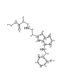 CCOC(=O)C(C)CNCCc1nc2c(NCc3ncccc3F)ncnc2s1